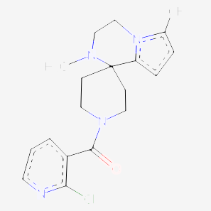 CN1CCn2c(C(F)(F)F)ccc2C12CCN(C(=O)c1cccnc1Cl)CC2